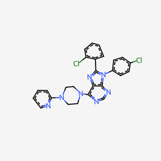 Clc1ccc(-n2c(-c3ccccc3Cl)nc3c(N4CCN(c5ccccn5)CC4)ncnc32)cc1